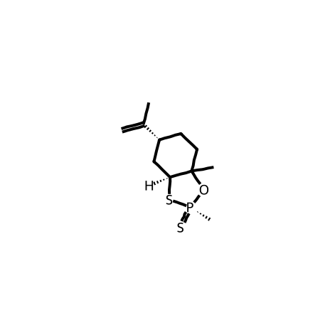 C=C(C)[C@@H]1CCC2(C)O[P@@](C)(=S)S[C@H]2C1